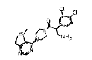 C[C@@H]1CCc2ncnc(N3CCN(C(=O)C(CN)c4ccc(Cl)c(Cl)c4)CC3)c21